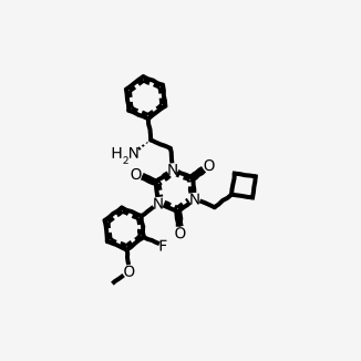 COc1cccc(-n2c(=O)n(CC3CCC3)c(=O)n(C[C@H](N)c3ccccc3)c2=O)c1F